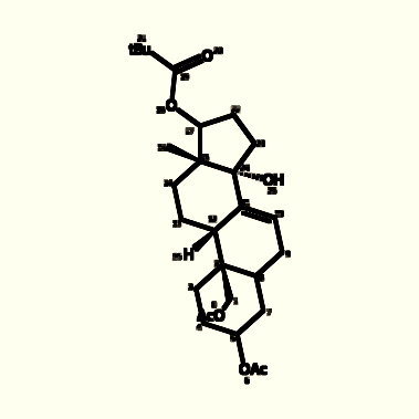 CC(=O)OC[C@]12CCC(OC(C)=O)CC1CC=C1[C@H]2CC[C@]2(C)C(OC(=O)C(C)(C)C)CC[C@@]12O